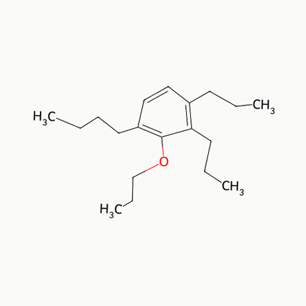 CCCCc1ccc(CCC)c(CCC)c1OCCC